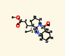 CC[C@]1(CCC(=O)OC)CCCn2c1nc1ccccc1c2=O